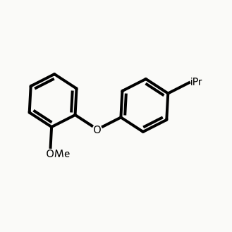 COc1ccccc1Oc1ccc(C(C)C)cc1